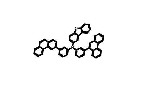 c1cc(-c2ccc3ccc4ccccc4c3c2)cc(N(c2cccc(-c3cc4ccccc4c4ccccc34)c2)c2ccc3oc4ccccc4c3c2)c1